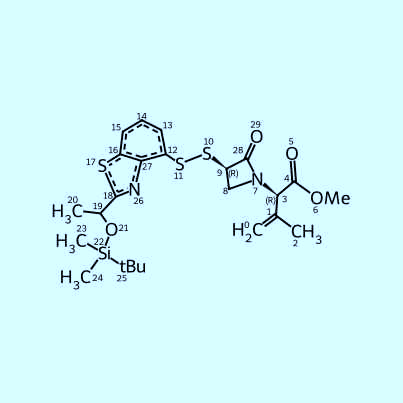 C=C(C)[C@H](C(=O)OC)N1C[C@@H](SSc2cccc3sc(C(C)O[Si](C)(C)C(C)(C)C)nc23)C1=O